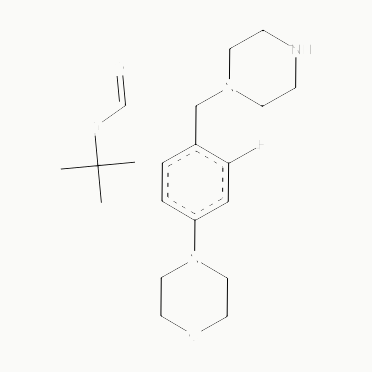 CC(C)(C)OC=O.Fc1cc(N2CCOCC2)ccc1CN1CCNCC1